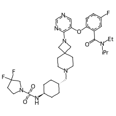 CCN(C(=O)c1cc(F)ccc1Oc1cncnc1N1CC2(CCN(C[C@H]3CC[C@H](NS(=O)(=O)N4CCC(F)(F)C4)CC3)CC2)C1)C(C)C